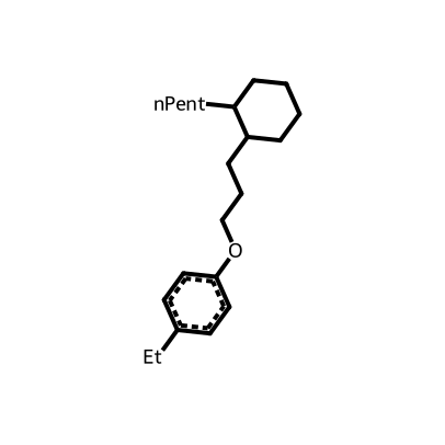 CCCCCC1CCCCC1CCCOc1ccc(CC)cc1